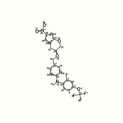 Cc1cc(OC(F)(F)F)ccc1N(C)c1ncc(CO[C@@H]2COc3nc([N+](=O)[O-])cn3C2)cn1